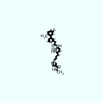 CNC(=O)c1cn(CCCCC(=N)/C=C\C(=N)NC(=O)Cc2cc(-c3cc(F)ccc3C)ccn2)nn1